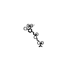 C=C(C)C(=O)OCCCOC(=O)/C=C/c1ccc(Cl)c([N+](=O)[O-])c1